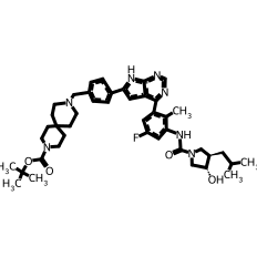 Cc1c(NC(=O)N2C[C@@H](CC(C)C)[C@H](O)C2)cc(F)cc1-c1ncnc2[nH]c(-c3ccc(CN4CCC5(CC4)CCN(C(=O)OC(C)(C)C)CC5)cc3)cc12